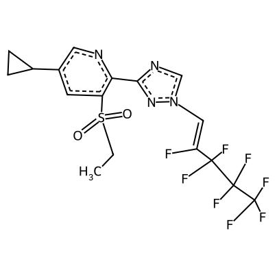 CCS(=O)(=O)c1cc(C2CC2)cnc1-c1ncn(C=C(F)C(F)(F)C(F)(F)C(F)(F)F)n1